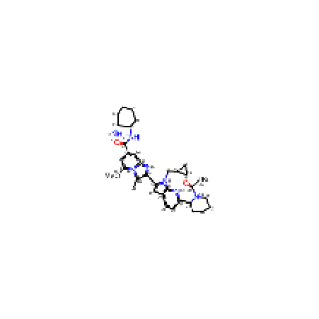 COc1cc(C(=O)N[C@@H]2CCCC[C@H]2N)cc2nc(-c3cc4ccc(C5CCCCN5C(=O)C(C)(C)C)nc4n3CC3CC3)c(C)n12